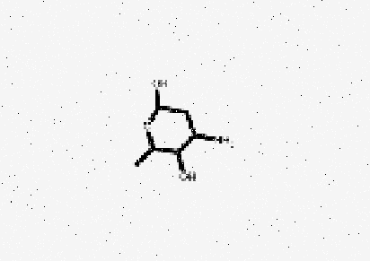 CC1OC(O)CC(N)C1O